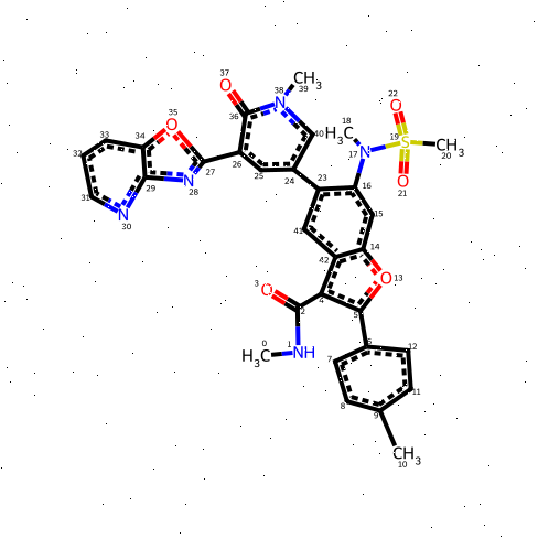 CNC(=O)c1c(-c2ccc(C)cc2)oc2cc(N(C)S(C)(=O)=O)c(-c3cc(-c4nc5ncccc5o4)c(=O)n(C)c3)cc12